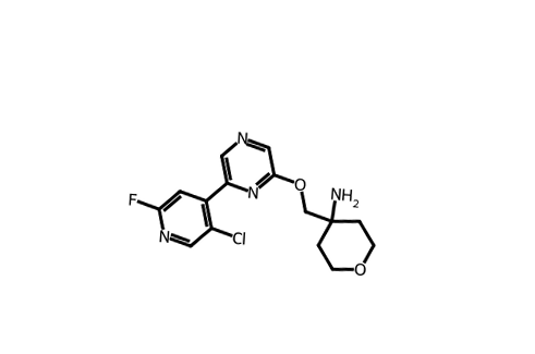 NC1(COc2cncc(-c3cc(F)ncc3Cl)n2)CCOCC1